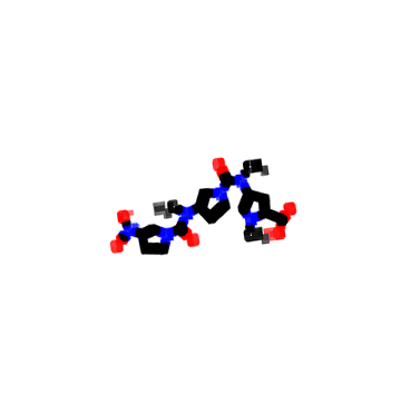 CN(C(=O)n1ccc(N(C)C(=O)n2ccc([N+](=O)[O-])c2)c1)c1cc(C(=O)O)n(C)c1